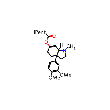 CCCC(C)C(=O)OC1=C[C@@H]2N(C)CC[C@]2(c2ccc(OC)c(OC)c2)CC1